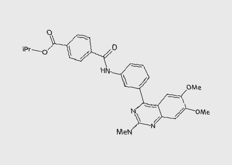 CNc1nc(-c2cccc(NC(=O)c3ccc(C(=O)OC(C)C)cc3)c2)c2cc(OC)c(OC)cc2n1